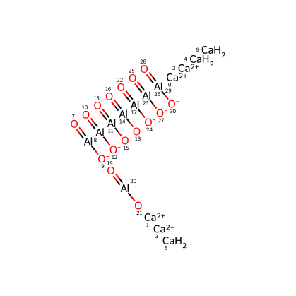 [Ca+2].[Ca+2].[Ca+2].[Ca+2].[CaH2].[CaH2].[CaH2].[O]=[Al][O-].[O]=[Al][O-].[O]=[Al][O-].[O]=[Al][O-].[O]=[Al][O-].[O]=[Al][O-].[O]=[Al][O-].[O]=[Al][O-]